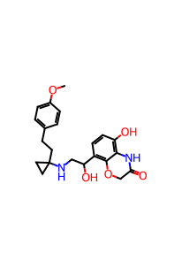 COc1ccc(CCC2(NCC(O)c3ccc(O)c4c3OCC(=O)N4)CC2)cc1